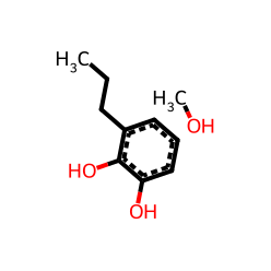 CCCc1cccc(O)c1O.CO